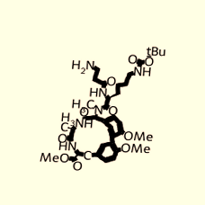 COC(=O)[C@@H]1Cc2ccc(OC)c(c2)-c2cc(ccc2OC)[C@H](N(C)C(=O)[C@H](CCCCNC(=O)OC(C)(C)C)NC(=O)CCN)C(=O)N[C@@H](C)C(=O)N1